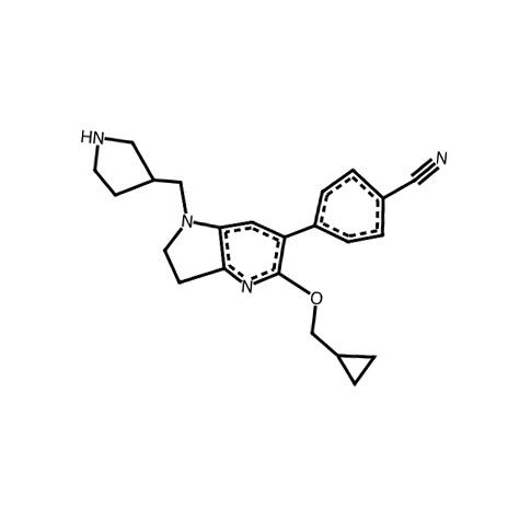 N#Cc1ccc(-c2cc3c(nc2OCC2CC2)CCN3CC2CCNC2)cc1